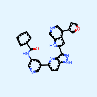 O=C(Nc1cncc(-c2ccc3[nH]nc(-c4cc5c(-c6ccoc6)cncc5[nH]4)c3n2)c1)c1ccccc1